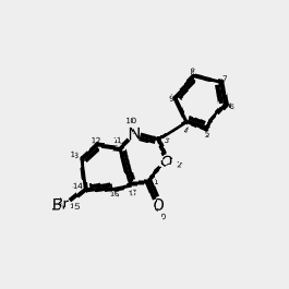 O=c1oc(-c2ccccc2)nc2ccc(Br)cc12